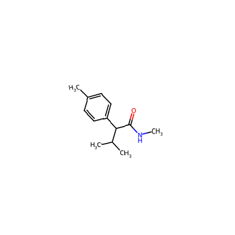 CNC(=O)C(c1ccc(C)cc1)C(C)C